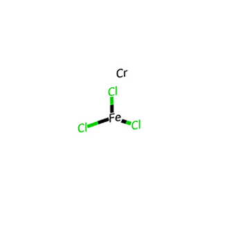 [Cl][Fe]([Cl])[Cl].[Cr]